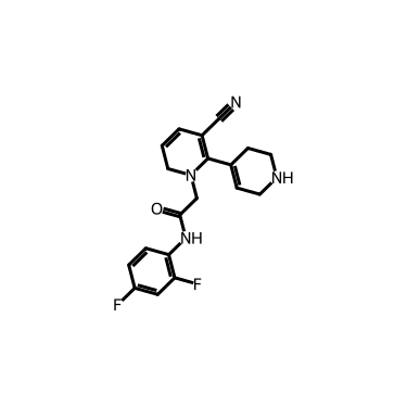 N#CC1=C(C2=CCNCC2)N(CC(=O)Nc2ccc(F)cc2F)CC=C1